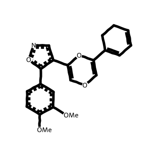 COc1ccc(-c2oncc2C2=COC=C(C3=CC=CCC3)O2)cc1OC